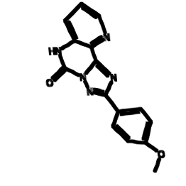 COc1ccc(-c2nc3c4ncccc4[nH]c(=O)n3n2)cc1